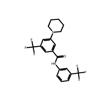 O=C(Nc1cccc(C(F)(F)F)c1)c1cc(N2CCCCC2)cc(C(F)(F)F)c1